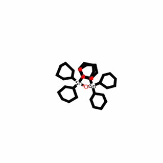 C1CC[CH]([Sn]([O][Sn]([CH]2CCCCC2)([CH]2CCCCC2)[CH]2CCCCC2)([CH]2CCCCC2)[CH]2CCCCC2)CC1